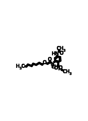 CCCCCCCCOCC(=O)N(C)c1cc(NC(C)=O)ccc1C(=O)OCC